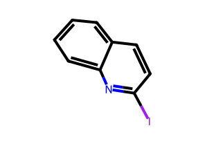 Ic1ccc2ccccc2n1